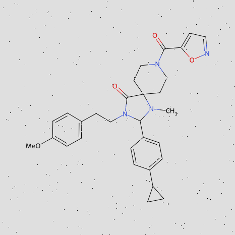 COc1ccc(CCN2C(=O)C3(CCN(C(=O)c4ccno4)CC3)N(C)C2c2ccc(C3CC3)cc2)cc1